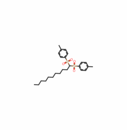 CCCCCCCCCCC(S(=O)(=O)c1ccc(C)cc1)S(=O)(=O)c1ccc(C)cc1